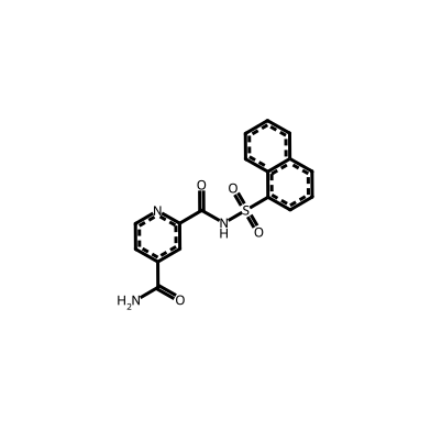 NC(=O)c1ccnc(C(=O)NS(=O)(=O)c2cccc3ccccc23)c1